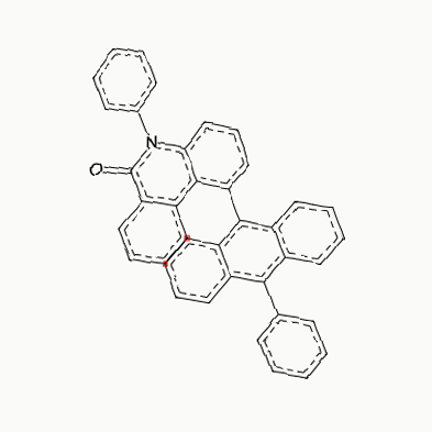 O=c1c2ccccc2c2c(-c3c4ccccc4c(-c4ccccc4)c4ccccc34)cccc2n1-c1ccccc1